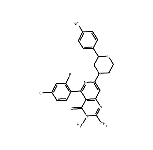 Cc1nc2cc(N3CCOC(c4ccc(C#N)cc4)C3)nc(-c3ccc(Cl)cc3F)c2c(=O)n1C